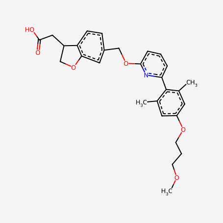 COCCCOc1cc(C)c(-c2cccc(OCc3ccc4c(c3)OCC4CC(=O)O)n2)c(C)c1